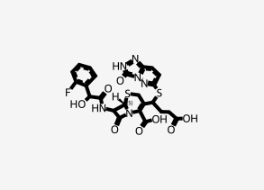 O=C(O)CCC(Sc1ccc2n[nH]c(=O)n2n1)C1=C(C(=O)O)N2C(=O)C(NC(=O)C(O)c3ccccc3F)[C@@H]2SC1